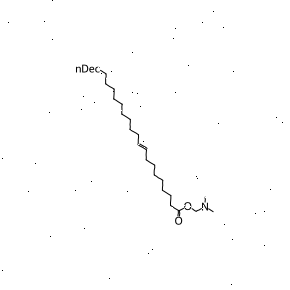 CCCCCCCCCCCCCCCCCCCC=CCCCCCCCC(=O)OCN(C)C